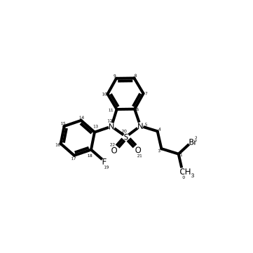 CC(Br)CCN1c2ccccc2N(c2ccccc2F)S1(=O)=O